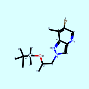 Cc1c(Br)cnc2cn(CC(C)O[Si](C)(C)C(C)(C)C)nc12